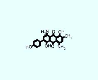 Cc1cc(N)c2c(c1O)C(=O)c1c(N)cc(-c3ccc(O)cc3)c(O)c1C2=O